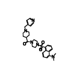 CN(C)c1cccc2c(S(=O)(=O)N3CCN(C(=O)C4CCN(Cc5ccncc5)CC4)CC3)cccc12